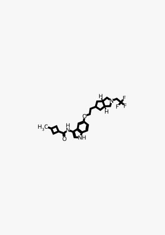 CC1CC(C(=O)Nc2c[nH]c3ccc(OCCC4C[C@@H]5CN(CC(F)(F)F)C[C@@H]5C4)cc23)C1